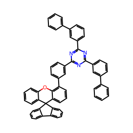 c1ccc(-c2cccc(-c3nc(-c4cccc(-c5ccccc5)c4)nc(-c4cccc(-c5cccc6c5Oc5ccccc5C65c6ccccc6-c6ccccc65)c4)n3)c2)cc1